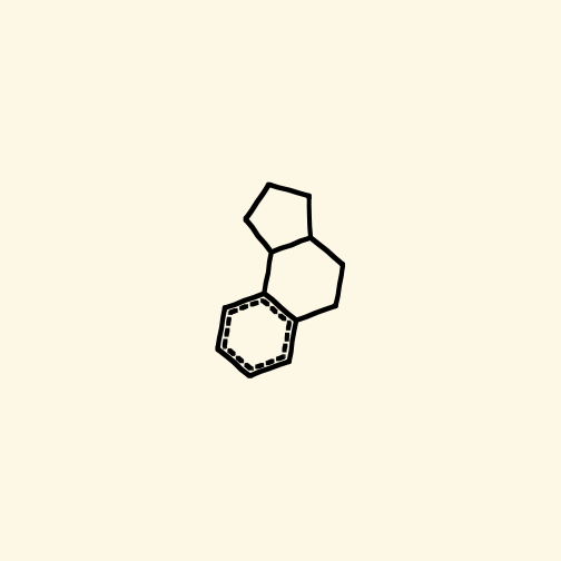 c1ccc2c(c1)CCC1CCCC21